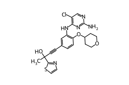 CC(O)(C#Cc1ccc(OC2CCOCC2)c(Nc2nc(N)ncc2Cl)c1)c1nccs1